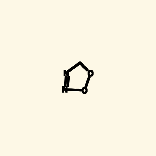 C1N=NOO1